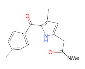 CNC(=O)Cc1cc(C)c(C(=O)c2ccc(C)cc2)[nH]1